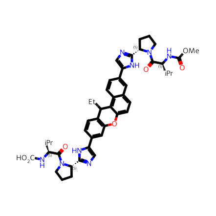 CCC1c2ccc(-c3cnc([C@@H]4CCCN4C(=O)[C@@H](NC(=O)O)C(C)C)[nH]3)cc2Oc2ccc3cc(-c4cnc([C@@H]5CCCN5C(=O)[C@@H](NC(=O)OC)C(C)C)[nH]4)ccc3c21